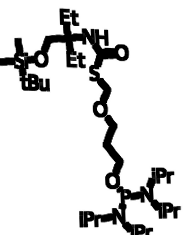 CCC(CC)(CO[Si](C)(C)C(C)(C)C)NC(=O)SCOCCCOP(N(C(C)C)C(C)C)N(C(C)C)C(C)C